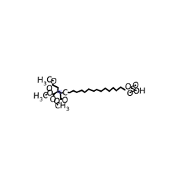 COC(=O)C/C(C(=O)OC)=C(\CCCCCCCCCCCCCCCCOS(=O)(=O)O)C(=O)OC